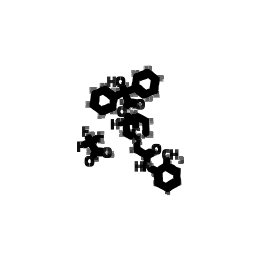 Cc1ccccc1NC(=O)C[N+]12CCC(CC1)[C@@H](OC(=O)C(O)(c1ccccc1)c1ccccc1)C2.O=C([O-])C(F)(F)F